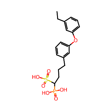 CCc1cccc(Oc2cccc(CCCC(P(=O)(O)O)S(=O)(=O)O)c2)c1